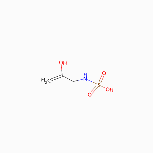 C=C(O)CNS(=O)(=O)O